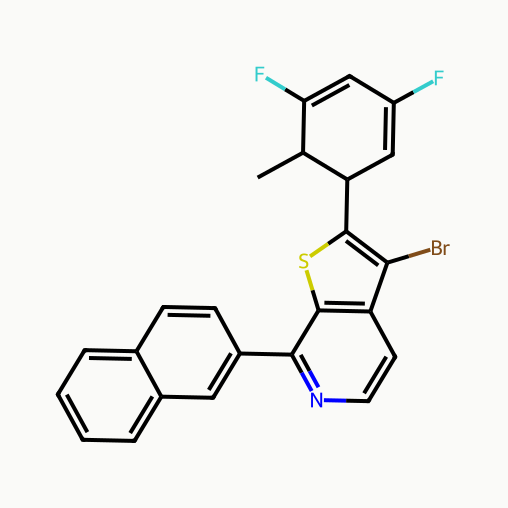 CC1C(F)=CC(F)=CC1c1sc2c(-c3ccc4ccccc4c3)nccc2c1Br